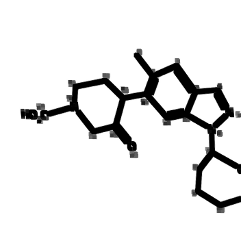 Cc1cc2cnn(C3CCCCO3)c2cc1C1CCN(C(=O)O)CC1=O